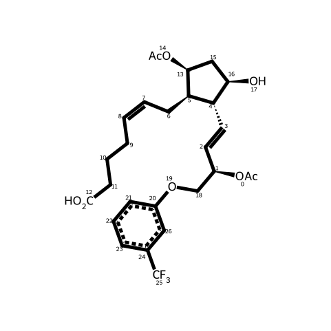 CC(=O)O[C@H](/C=C/[C@@H]1[C@@H](C/C=C\CCCC(=O)O)[C@@H](OC(C)=O)C[C@H]1O)COc1cccc(C(F)(F)F)c1